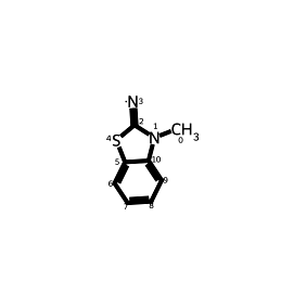 Cn1c(=[N])sc2ccccc21